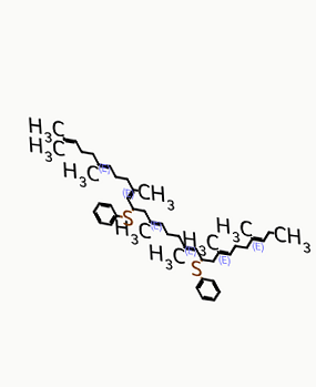 CC/C=C(\C)CC/C=C(\C)CC(/C=C(\C)CC/C=C(\C)CC(/C=C(\C)CC/C=C(\C)CCC=C(C)C)Sc1ccccc1)Sc1ccccc1